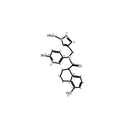 CCCCCCCCCn1cc(CN(C(=O)C2CCCc3c(O)cccc32)c2ccc(C(C)C)nc2)cn1